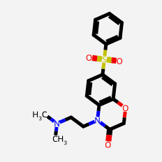 CN(C)CCN1C(=O)COc2cc(S(=O)(=O)c3ccccc3)ccc21